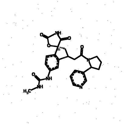 CNC(=O)Nc1ccc2c(c1)C(CC(=O)N1CCCC1c1cccnc1)C[C@@]21OC(=O)NC1=O